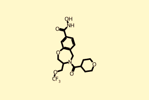 O=C(NO)c1ccc2c(c1)OCC(COC(F)(F)F)N(C(=O)C1CCOCC1)C2